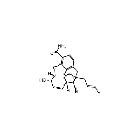 NC(=O)c1ccc2c3c1O[C@H]1[C@@H](O)C=C[C@H]4[C@@H](C2)N(CC=CI)CC[C@@]341